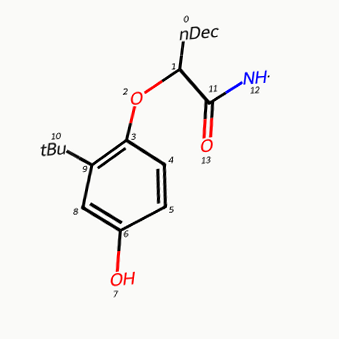 CCCCCCCCCCC(Oc1ccc(O)cc1C(C)(C)C)C([NH])=O